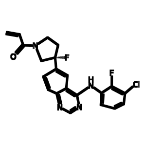 C=CC(=O)N1CC[C@@](F)(c2ccc3ncnc(Nc4cccc(Cl)c4F)c3c2)C1